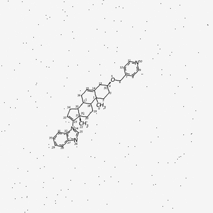 CC12CC[C@H](OCc3ccncc3)CC1=CCC1C2CC[C@]2(C)C(n3cnc4ccccc43)=CCC12